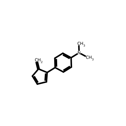 C=C1C=CC=C1c1ccc(N(C)C)cc1